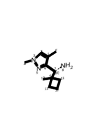 Cc1cn(C)nc1[C@H](N)C1(C)CCC1